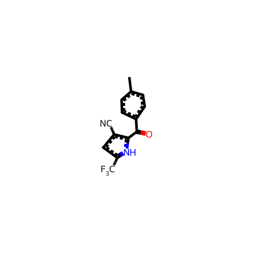 Cc1ccc(C(=O)c2[nH]c(C(F)(F)F)cc2C#N)cc1